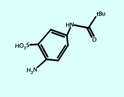 CC(C)(C)C(=O)Nc1ccc(N)c(S(=O)(=O)O)c1